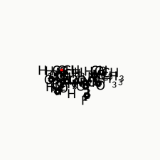 C[C@@H]1COCCN1C[C@H]1CN(C(=O)OC(C)(C)C)[C@H](C)CN1CC(=O)N1C[C@@](C)(C(=O)NCC(=O)Nc2ccc3c(c2)[C@@H](C(=O)Nc2c(F)cccc2F)N(C(=O)[C@@H](NC(=O)[C@H](C)N(C)C(=O)OC(C)(C)C)C2CCOCC2)C3)c2ccc(Cc3ccc(F)cc3)cc21